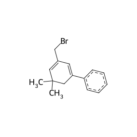 CC1(C)C=C(CBr)C=C(c2ccccc2)C1